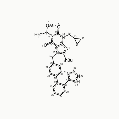 CCCCc1nc2c(c(=O)n(C(C)OC)c(=O)n2CC2CC2)n1Cc1ccc(-c2ccccc2-c2nnn[nH]2)cc1